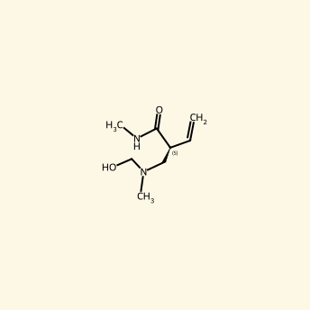 C=C[C@@H](CN(C)CO)C(=O)NC